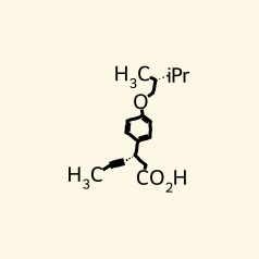 CC#C[C@@H](CC(=O)O)c1ccc(OC[C@H](C)C(C)C)cc1